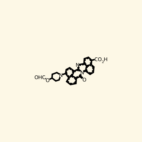 O=COC1CCN(c2ccc3c4c2cccc4c(=O)n2c4cccc5c(C(=O)O)ccc(nc32)c54)CC1